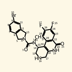 CN(C(=O)N1Cc2ccc(Br)cc2C1)[C@@H]1CNCc2[nH]c(=O)c3cc(F)c(F)cc3c21